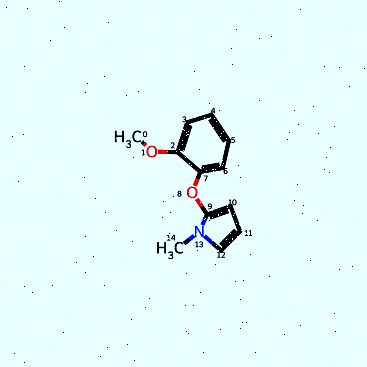 COc1ccccc1Oc1cccn1C